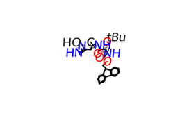 CC(C)(C)OC[C@H](NC(=O)OCC1c2ccccc2-c2ccccc21)C(=O)N[C@@H](Cc1c[nH]cn1)C(=O)O